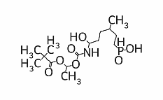 CC(CCC(O)NC(=O)OC(C)OC(=O)C(C)(C)C)CC[PH](=O)O